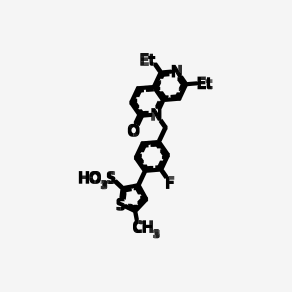 CCc1cc2c(ccc(=O)n2Cc2ccc(-c3cc(C)sc3S(=O)(=O)O)c(F)c2)c(CC)n1